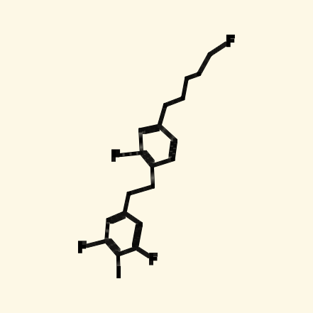 FCCCCCc1ccc(CCc2cc(F)c(I)c(F)c2)c(F)c1